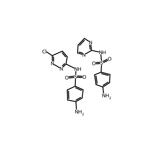 Nc1ccc(S(=O)(=O)Nc2ccc(Cl)nn2)cc1.Nc1ccc(S(=O)(=O)Nc2ncccn2)cc1